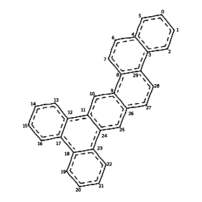 c1ccc2c(c1)ccc1c3cc4c5ccccc5c5ccccc5c4cc3ccc21